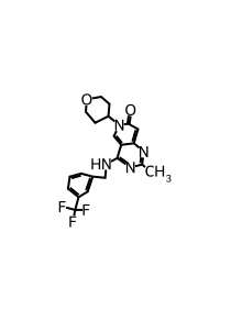 Cc1nc(NCc2cccc(C(F)(F)F)c2)c2cn(C3CCOCC3)c(=O)cc2n1